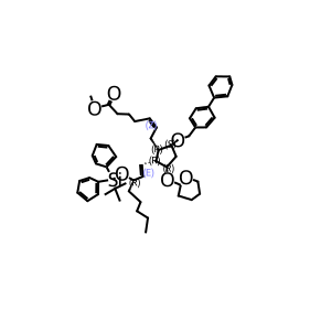 CCCCC[C@H](/C=C/[C@@H]1[C@@H](C/C=C\CCCC(=O)OC)[C@@H](OCc2ccc(-c3ccccc3)cc2)C[C@H]1OC1CCCCO1)O[Si](c1ccccc1)(c1ccccc1)C(C)(C)C